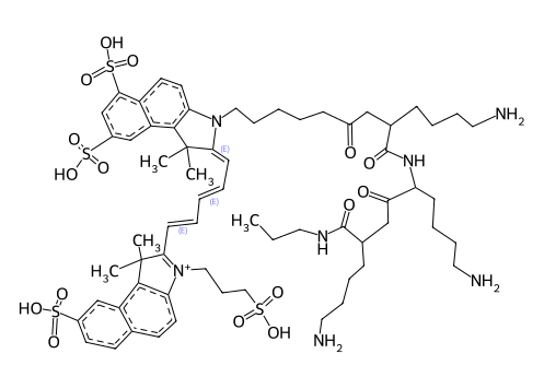 CCCNC(=O)C(CCCCN)CC(=O)C(CCCCN)NC(=O)C(CCCCN)CC(=O)CCCCCN1/C(=C/C=C/C=C/C2=[N+](CCCS(=O)(=O)O)c3ccc4ccc(S(=O)(=O)O)cc4c3C2(C)C)C(C)(C)c2c1ccc1c(S(=O)(=O)O)cc(S(=O)(=O)O)cc21